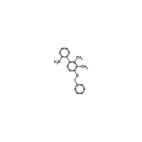 Cc1c(OCc2ccccc2)ccc(-c2ccccc2N)c1C